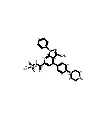 Cc1nn(-c2ccccc2)c2nc(C(=O)NS(C)(=O)=O)cc(-c3ccc(N4CCOCC4)cc3)c12